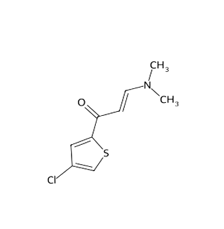 CN(C)C=CC(=O)c1cc(Cl)cs1